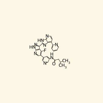 CC(C)CC(=O)Nc1cncc(-c2cnc3[nH]nc(-c4nc5c(-c6ccccn6)ccnc5[nH]4)c3c2F)c1